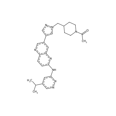 CC(=O)N1CCC(Cn2cc(-c3cnc4ccc(Nc5cc(C(C)C)cnn5)nc4c3)cn2)CC1